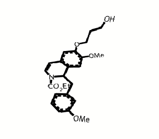 CCOC(=O)N1C=Cc2cc(OCCCO)c(OC)cc2C1Cc1cccc(OC)c1